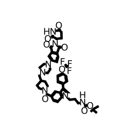 CC(C)(C)OC(=O)NCCCn1cc(-c2ccc(OC(F)(F)F)cc2)c2cc(C(=O)N3CCC(CN4CCN(c5ccc6c(c5)C(=O)N(C5CCC(=O)NC5=O)C6=O)CC4)CC3)ccc21